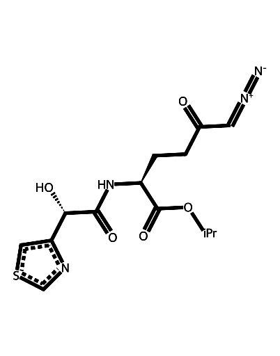 CC(C)OC(=O)[C@H](CCC(=O)C=[N+]=[N-])NC(=O)[C@@H](O)c1cscn1